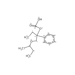 CCC(C)OCC(CC)(OC(=O)O)c1ccccc1